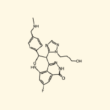 CNCc1ccc(C2ONc3cc(F)cc4c(=O)[nH]nc(c34)C2c2ncnn2CCCO)cc1